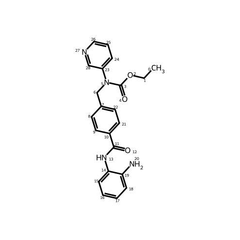 CCOC(=O)N(Cc1ccc(C(=O)Nc2ccccc2N)cc1)c1cccnc1